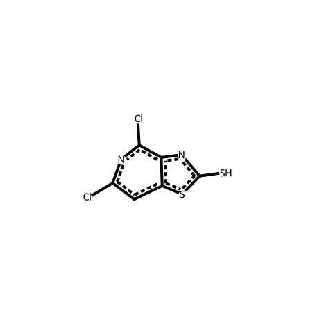 Sc1nc2c(Cl)nc(Cl)cc2s1